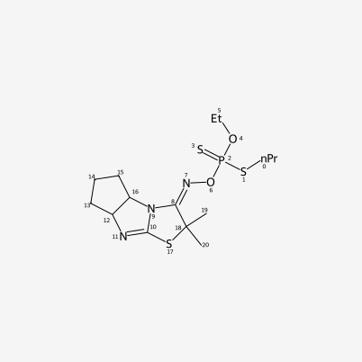 CCCSP(=S)(OCC)ON=C1N2C(=NC3CCCC32)SC1(C)C